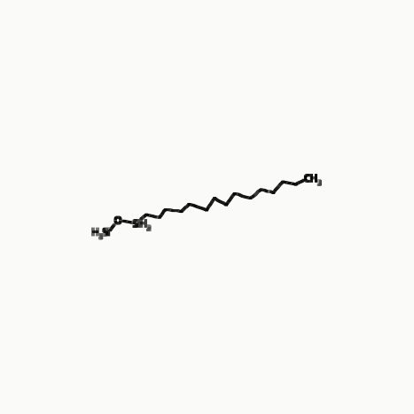 CCCCCCCCCCCCCCC[SiH2]O[SiH3]